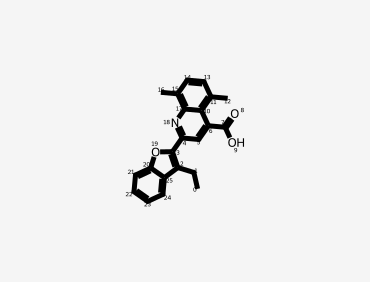 CCc1c(-c2cc(C(=O)O)c3c(C)ccc(C)c3n2)oc2ccccc12